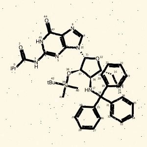 CC(C)C(=O)Nc1nc2c(ncn2[C@@H]2O[C@H](CO)[C@@H](NC(c3ccccc3)(c3ccccc3)c3ccccc3)[C@H]2O[Si](C)(C)C(C)(C)C)c(=O)[nH]1